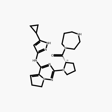 O=C([C@@H]1CCCN1C1=NN2CCC=C2C(Nc2cc(C3CC3)[nH]n2)=N1)N1CCCNCC1